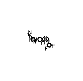 O=C1N2[C@H](c3cc(F)cc(F)c3)CCN2CC12CCN(c1cc(-n3ccnc3)ncn1)CC2